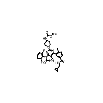 Cc1ccc(C(=O)NCC2CC2)cc1-c1nc(N2CCC(NC(=O)OC(C)(C)C)CC2)nc2c1CNC(=O)N2c1c(F)cccc1F